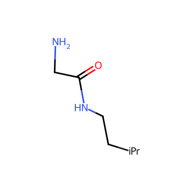 CC(C)CCNC(=O)CN